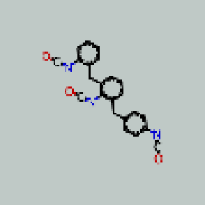 O=C=Nc1ccc(Cc2cccc(Cc3ccccc3N=C=O)c2N=C=O)cc1